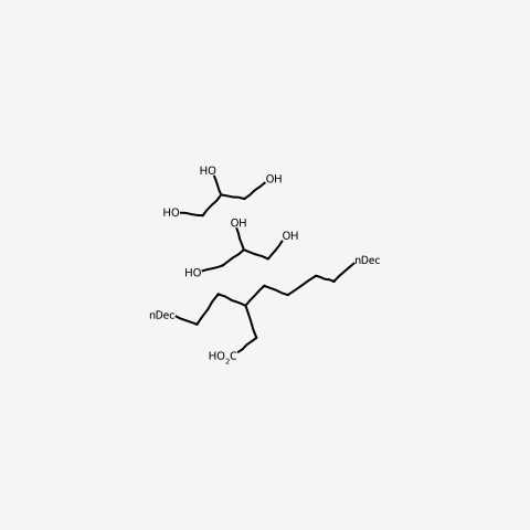 CCCCCCCCCCCCCCC(CCCCCCCCCCCC)CC(=O)O.OCC(O)CO.OCC(O)CO